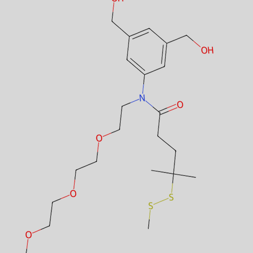 COCCOCCOCCN(C(=O)CCC(C)(C)SSC)c1cc(CO)cc(CO)c1